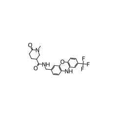 CN1CC(C(=O)NCc2ccc3c(c2)Oc2ccc(C(F)(F)F)cc2N3)CCC1=O